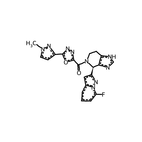 Cn1ccc(-c2nnc(C(=O)N3CCc4[nH]cnc4[C@H]3c3cc4cccc(F)n4n3)o2)n1